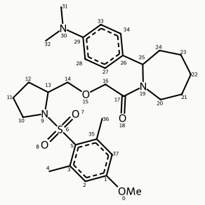 COc1cc(C)c(S(=O)(=O)N2CCCC2COCC(=O)N2CCCCCC2c2ccc(N(C)C)cc2)c(C)c1